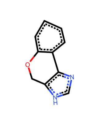 c1ccc2c(c1)OCc1[nH]cnc1-2